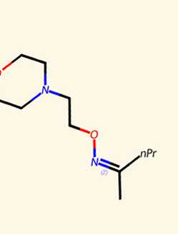 CCC/C(C)=N\OCCN1CCOCC1